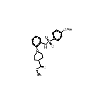 COc1ccc(S(=O)(=O)Nc2ccccc2N2CCC(C(=O)OC(C)(C)C)CC2)cc1